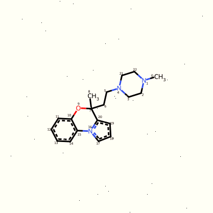 CN1CCN(CCC2(C)Oc3ccccc3-n3cccc32)CC1